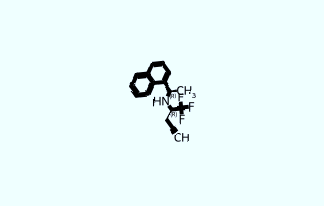 C#CC[C@@H](N[C@H](C)c1cccc2ccccc12)C(F)(F)F